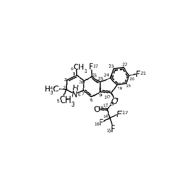 CC1=CC(C)(C)NC2=CC3=C(OC(=O)C(F)(F)F)c4cc(F)ccc4C3=C(F)C12